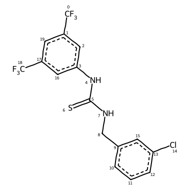 FC(F)(F)c1cc(NC(=S)NCc2cccc(Cl)c2)cc(C(F)(F)F)c1